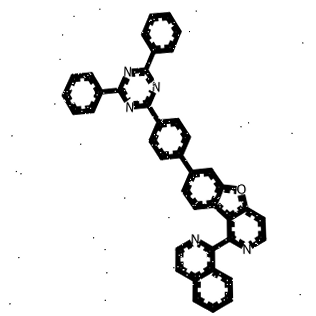 c1ccc(-c2nc(-c3ccccc3)nc(-c3ccc(-c4ccc5c(c4)oc4ccnc(-c6nccc7ccccc67)c45)cc3)n2)cc1